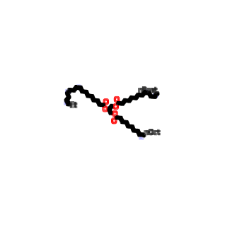 CC/C=C\C/C=C\C/C=C\CCCCCCCC(=O)OC(COC(=O)CCCCCCC/C=C\C/C=C\CCCCC)COC(=O)CCCCCCC/C=C\CCCCCCCC